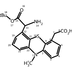 CN1c2cccc(CC(=O)O)c2Sc2c(C(N)C(=O)OC(C)(C)C)cccc21